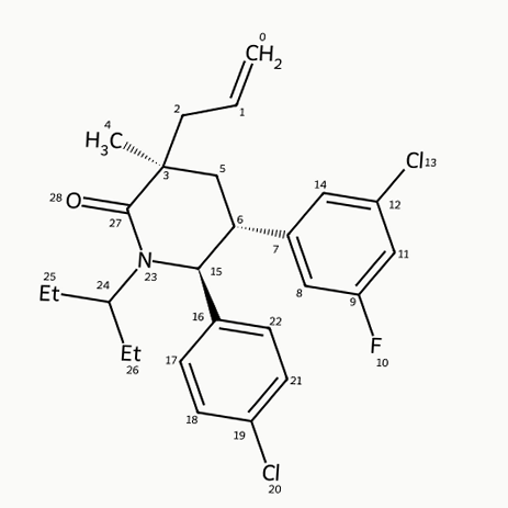 C=CC[C@@]1(C)C[C@H](c2cc(F)cc(Cl)c2)[C@@H](c2ccc(Cl)cc2)N(C(CC)CC)C1=O